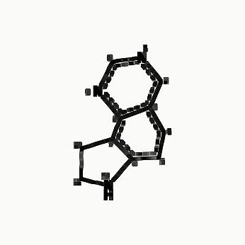 c1ncc2ccc3c(c2n1)CCN3